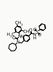 Cc1cc(C)c(NC(=O)N(Cc2ccc(C(=O)NS(=O)(=O)c3ccccc3)cc2)C2CCCCCC2)c(C)c1